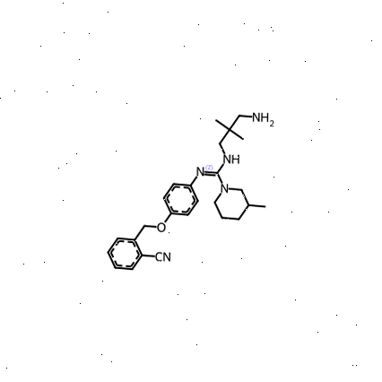 CC1CCCN(/C(=N\c2ccc(OCc3ccccc3C#N)cc2)NCC(C)(C)CN)C1